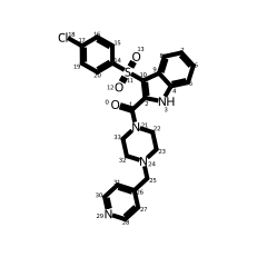 O=C(c1[nH]c2ccccc2c1S(=O)(=O)c1ccc(Cl)cc1)N1CCN(Cc2ccncc2)CC1